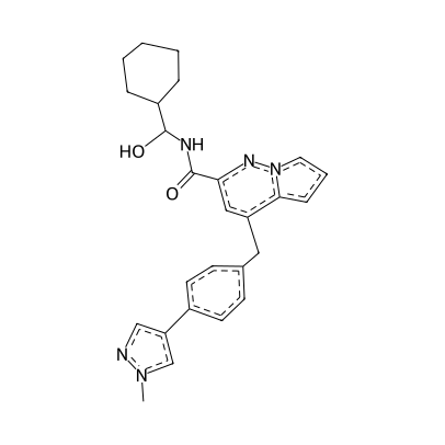 Cn1cc(-c2ccc(Cc3cc(C(=O)NC(O)C4CCCCC4)nn4cccc34)cc2)cn1